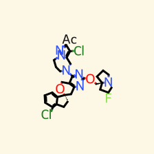 CC(=O)c1nn2c(c1Cl)CN(c1nc(OC[C@@]34CCCN3C[C@H](F)C4)nc3c1CO[C@@]1(CCc4c(Cl)cccc41)C3)CCC2